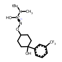 CN(/[N+](O)=N/OC1CCC(O)(c2cccc(C(F)(F)F)c2)CC1)C(C)(C)C